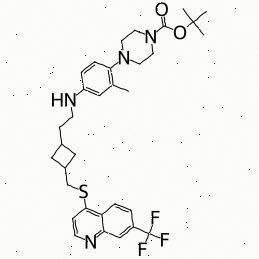 Cc1cc(NCCC2CC(CSc3ccnc4cc(C(F)(F)F)ccc34)C2)ccc1N1CCN(C(=O)OC(C)(C)C)CC1